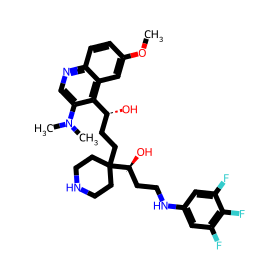 COc1ccc2ncc(N(C)C)c([C@H](O)CCC3([C@@H](O)CCNc4cc(F)c(F)c(F)c4)CCNCC3)c2c1